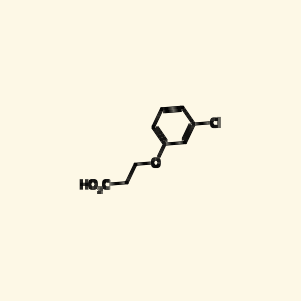 O=C(O)CCOc1cccc(Cl)c1